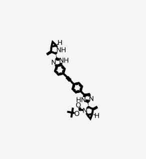 C=C1C2C[C@H]2N[C@@H]1c1nc2ccc(C#Cc3ccc(-c4cnc([C@@H]5C(=C)[C@H]6CC6N5C(=O)OC(C)(C)C)[nH]4)cc3)cc2[nH]1